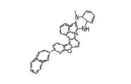 CN1c2c(n3c4ccc5oc6cc(-c7ccc8ccccc8c7)ccc6c5c4c4cccc2c43)NC2C=CC=CC21